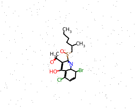 CCCCC(C)C[S+]([O-])C1=NC2C(=C(Cl)C=CC2Br)C(O)=C1C(C)=O